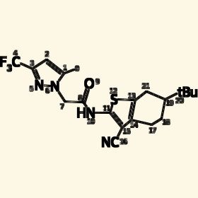 Cc1cc(C(F)(F)F)nn1CC(=O)Nc1sc2c(c1C#N)CCC(C(C)(C)C)C2